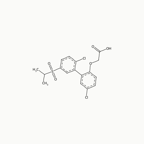 CC(C)S(=O)(=O)c1ccc(Cl)c(-c2cc(Cl)ccc2OCC(=O)O)c1